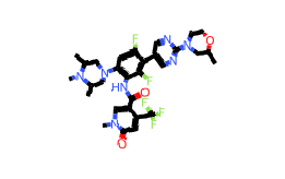 CC1CN(c2ncc(-c3c(F)cc(N4CC(C)N(C)C(C)C4)c(NC(=O)c4cn(C)c(=O)cc4C(F)(F)F)c3F)cn2)CCO1